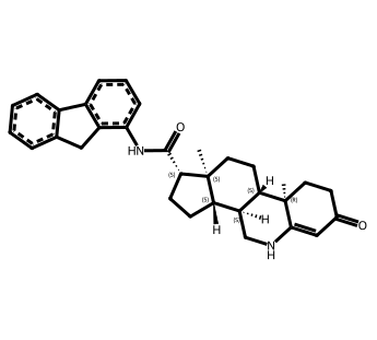 C[C@]12CC[C@H]3[C@@H](CNC4=CC(=O)CC[C@@]43C)[C@@H]1CC[C@@H]2C(=O)Nc1cccc2c1Cc1ccccc1-2